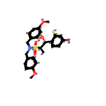 COc1ccc(CN(Cc2ccc(OC)cc2)S(=O)(=O)[C@H](C)[C@H](O)c2ccc(Br)cc2F)cc1